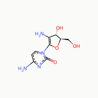 NC1=C(n2ccc(N)nc2=O)O[C@H](CO)[C@H]1O